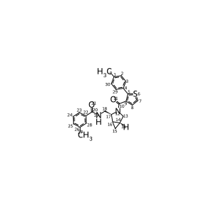 Cc1ccc(-c2sccc2C(=O)N2C[C@@H]3CC3[C@H]2CNC(=O)c2cccc(C)c2)cc1